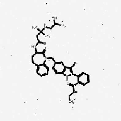 CCNC(=O)c1ccccc1-c1[nH]c2ccc(CN3C(=O)C(NC(=O)CC(C)(C)NCC(C)O)CCc4ccccc43)cc2c1Br